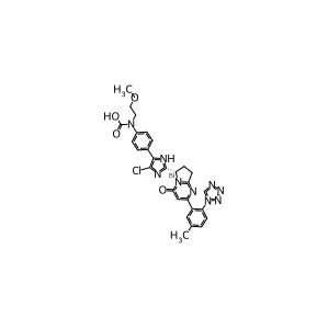 COCCN(C(=O)O)c1ccc(-c2[nH]c([C@@H]3CCc4nc(-c5cc(C)ccc5-n5cnnn5)cc(=O)n43)nc2Cl)cc1